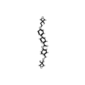 CC1(CCOc2ccc(-c3ccc(C(=O)Oc4ccc(COCC5(C)COC5)cc4)cc3)cc2)COC1